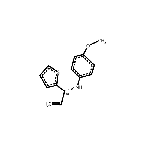 C=C[C@@H](Nc1ccc(OC)cc1)c1cccs1